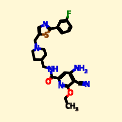 CCOc1nc(C(=O)NCC2CCN(Cc3cnc(-c4cccc(F)c4)s3)CC2)cc(N)c1C#N